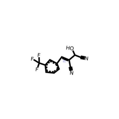 N#C/C(=C\c1cccc(C(F)(F)F)c1)C(O)C#N